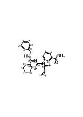 NC(=O)c1cccc2c1cc(C1CC1)n2-c1nc2c(c(NCc3ccccc3)n1)CCCC2